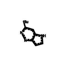 CC(C)(C)c1cc2[nH]ccc2nn1